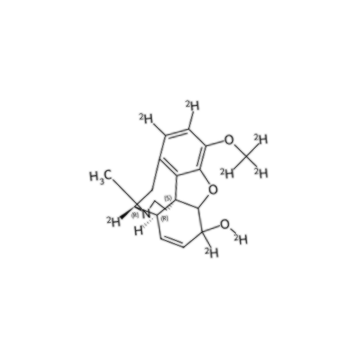 [2H]OC1([2H])C=C[C@@H]2[C@@]34CCN(C)[C@]2([2H])Cc2c([2H])c([2H])c(OC([2H])([2H])[2H])c(c23)OC14